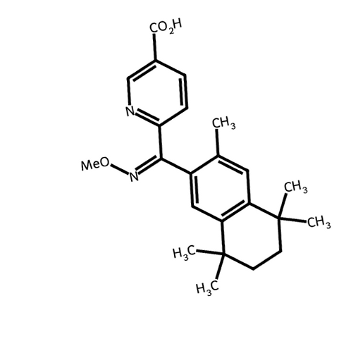 CON=C(c1ccc(C(=O)O)cn1)c1cc2c(cc1C)C(C)(C)CCC2(C)C